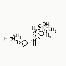 Cc1c(N(C(=O)O)C(C)(C)C)ccc2nc(NCCc3ccc(OCCN(C)C)nc3)oc(=O)c12